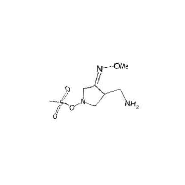 CO/N=C1/CN(OS(C)(=O)=O)CC1CN